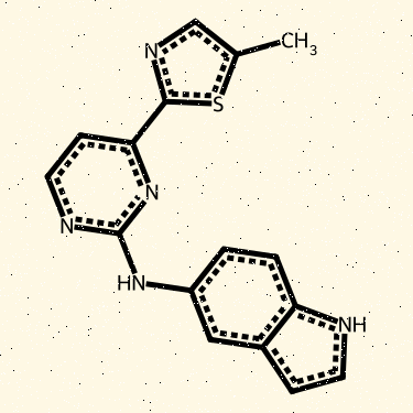 Cc1cnc(-c2ccnc(Nc3ccc4[nH]ccc4c3)n2)s1